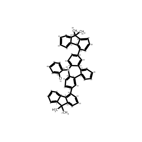 CC1(C)c2ccccc2-c2c(-c3ccc4c(c3)-c3ccccc3-c3cc(-c5cccc6c5-c5ccccc5C6(C)C)ccc3N4c3ccccc3Cl)cccc21